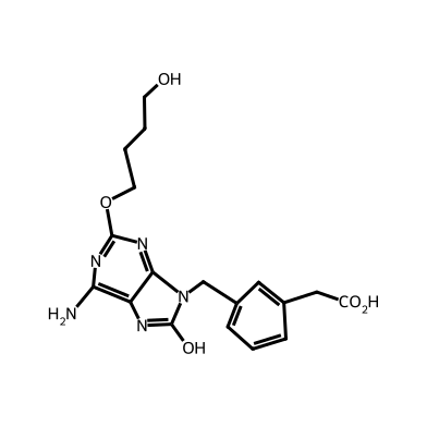 Nc1nc(OCCCCO)nc2c1nc(O)n2Cc1cccc(CC(=O)O)c1